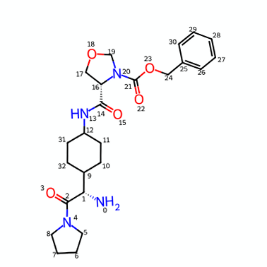 N[C@H](C(=O)N1CCCC1)C1CCC(NC(=O)[C@@H]2COCN2C(=O)OCc2ccccc2)CC1